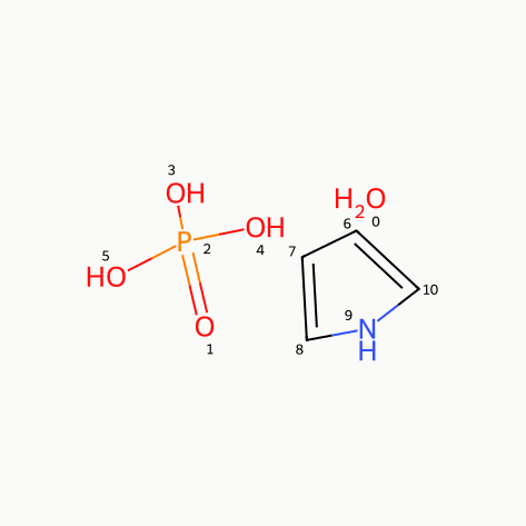 O.O=P(O)(O)O.c1cc[nH]c1